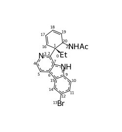 CC[C@@]1(c2nccc3c2[nH]c2ccc(Br)cc23)C=CC=CC1NC(C)=O